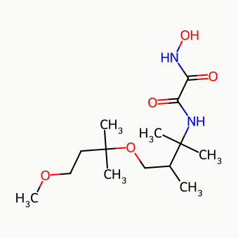 COCCC(C)(C)OCC(C)C(C)(C)NC(=O)C(=O)NO